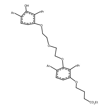 CCCc1c(OCCOCCOc2c(C(C)=O)ccc(OCCCC(=O)OCC)c2CCC)ccc(C(C)=O)c1O